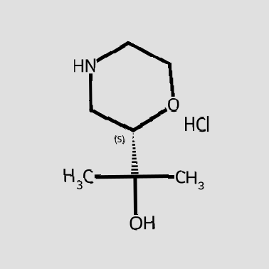 CC(C)(O)[C@@H]1CNCCO1.Cl